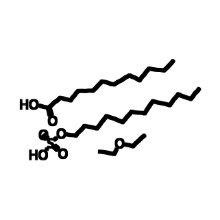 CCCCCCCCCCCC(=O)O.CCCCCCCCCCCCOS(=O)(=O)O.CCOCC